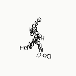 CC1(C)CCC(CN2CCN(c3ccc(C(=O)NS(=O)(=O)c4ccc(NC[C@@H]5CN(C6COC6)CCO5)c([N+](=O)[O-])c4)c(-n4ncc5nc6c(ccn6CO)cc54)c3)CC2)=C(c2ccc(Cl)cc2)C1